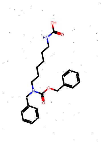 O=C(O)NCCCCCCN(Cc1ccccc1)C(=O)OCc1ccccc1